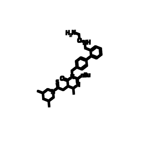 CCCCC1=NC(C)C(CC(=S)N2CC(C)CC(C)C2)C(=O)N1Cc1ccc(-c2ccccc2CNOCN)cc1